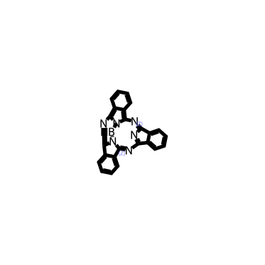 B1n2c3c4ccccc4c2/N=C2N=C(/N=c4/c5ccccc5c(n41)=N3)c1ccccc1\2